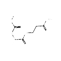 CC[C@H](NC(=O)OC(C)(C)C)C(=O)NCCC(=O)OC